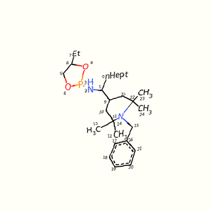 CCCCCCCC(NP1OCC(CC)O1)C1CC(C)(C)N(Cc2ccccc2)C(C)(C)C1